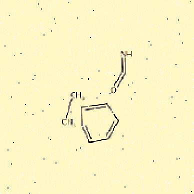 CC.N=C=O.c1ccccc1